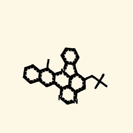 Cc1c2ccccc2cc2c3ncnc4cc(CC(C)(C)C)c5c6ccccc6n(c12)c5c43